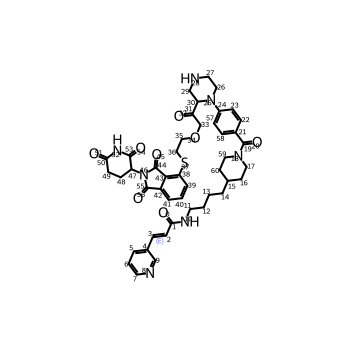 O=C(/C=C/c1cccnc1)NCCCCC1CCN(C(=O)c2ccc(N3CCNCC3C(=O)COCCSc3cccc4c3C(=O)N(C3CCC(=O)NC3=O)C4=O)cc2)CC1